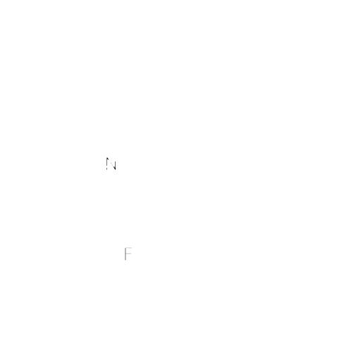 Fc1cccc2cccnc12